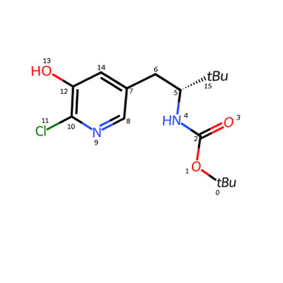 CC(C)(C)OC(=O)N[C@H](Cc1cnc(Cl)c(O)c1)C(C)(C)C